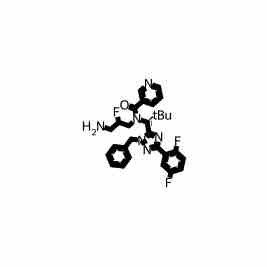 CC(C)(C)[C@H](c1nc(-c2cc(F)ccc2F)nn1Cc1ccccc1)N(CC(F)CN)C(=O)c1cccnc1